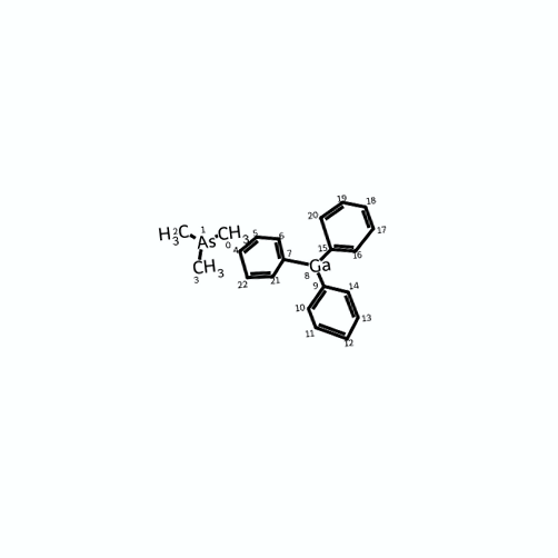 C[As](C)C.c1cc[c]([Ga]([c]2ccccc2)[c]2ccccc2)cc1